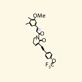 COc1cc(/C=C/C(=O)N2CCC=C(C#Cc3ccc(OC(F)(F)F)cc3)C2=O)cc(C)c1C